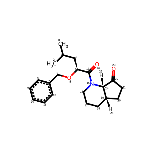 CC(C)C[C@H](OCc1ccccc1)C(=O)N1CCC[C@H]2CCC(=O)[C@H]21